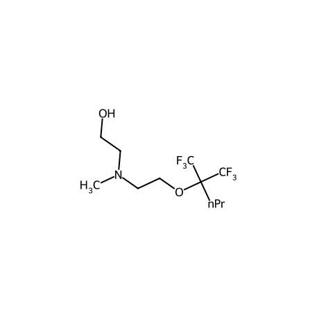 CCCC(OCCN(C)CCO)(C(F)(F)F)C(F)(F)F